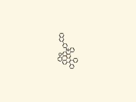 c1ccc(-c2c(-c3ccccc3)c3cc(-c4ccccc4N(c4ccc(-c5ccc6ccccc6c5)cc4)c4ccc5c(c4)oc4ccccc45)ccc3c3ccccc23)cc1